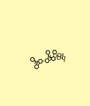 CC1(C)c2ccccc2-c2c1ccc1c3ccc(-c4ccc5c(c4)c4ccccc4n5-c4ccccc4)cc3n(-c3ccccc3)c21